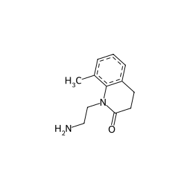 Cc1cccc2c1N(CCN)C(=O)CC2